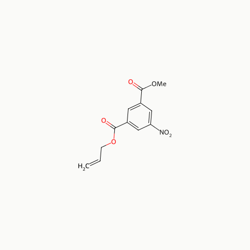 C=CCOC(=O)c1cc(C(=O)OC)cc([N+](=O)[O-])c1